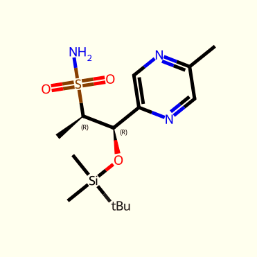 Cc1cnc([C@@H](O[Si](C)(C)C(C)(C)C)[C@@H](C)S(N)(=O)=O)cn1